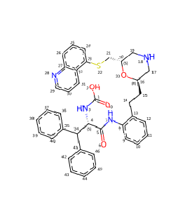 O=C(O)N[C@H](C(=O)Nc1ccccc1CC[C@@H]1CNC[C@@H](CSc2cccc3ncccc23)O1)C(c1ccccc1)c1ccccc1